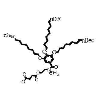 CCCCCCCCCCCCCCCCCCOc1cc(C(=O)N(C)CCOC(=O)CCC([O])=O)cc(OCCCCCCCCCCCCCCCCCC)c1OCCCCCCCCCCCCCCCCCC